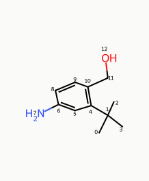 CC(C)(C)c1cc(N)ccc1CO